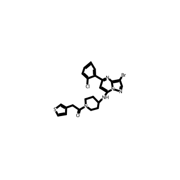 O=C(Cc1ccsc1)N1CCC(Nc2cc(-c3ccccc3Cl)nc3c(Br)cnn23)CC1